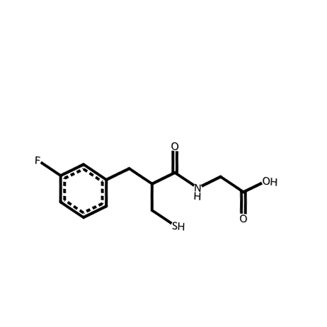 O=C(O)CNC(=O)C(CS)Cc1cccc(F)c1